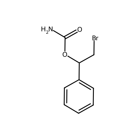 NC(=O)OC(CBr)c1ccccc1